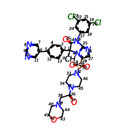 C[C@@]1(c2ccc(-c3cncnc3)cc2)C(=O)N(c2cc(Cl)cc(Cl)c2)c2ncc(S(=O)(=O)N3CCN(C(=O)CN4CCOCC4)CC3)n21